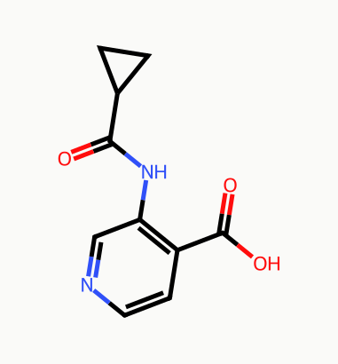 O=C(O)c1ccncc1NC(=O)C1CC1